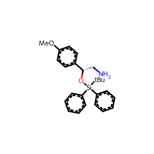 COc1ccc([C@H](CN)O[Si](c2ccccc2)(c2ccccc2)C(C)(C)C)cc1